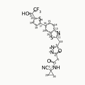 N#CC1(NC(=O)Cc2nnc(Cc3nc4ccc(-c5ccc(C(O)C(F)(F)F)s5)cc4s3)o2)CC1